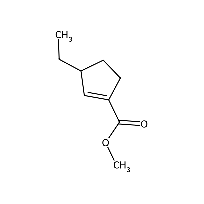 CCC1C=C(C(=O)OC)CC1